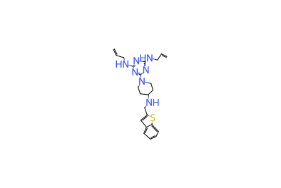 C=CCNc1nc(NCC=C)nc(N2CCC(NCc3cc4ccccc4s3)CC2)n1